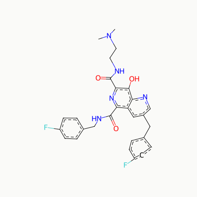 CN(C)CCNC(=O)c1nc(C(=O)NCc2ccc(F)cc2)c2cc(Cc3ccc(F)cc3)cnc2c1O